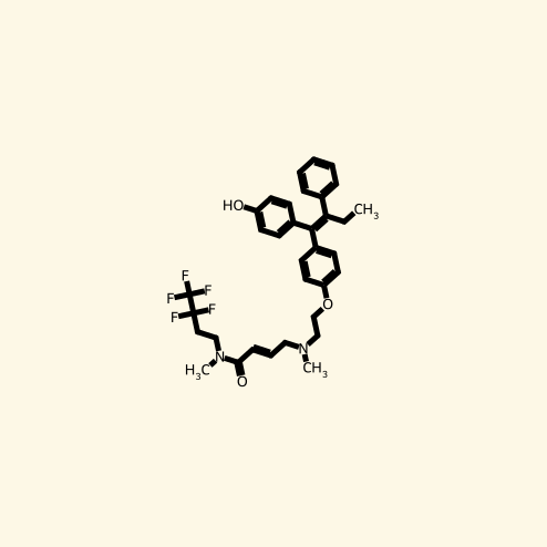 CCC(=C(c1ccc(O)cc1)c1ccc(OCCN(C)CC=CC(=O)N(C)CCC(F)(F)C(F)(F)F)cc1)c1ccccc1